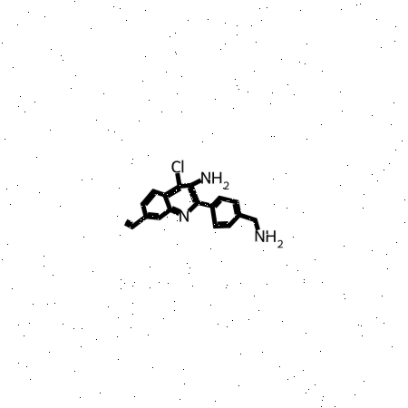 C=Cc1ccc2c(Cl)c(N)c(-c3ccc(CN)cc3)nc2c1